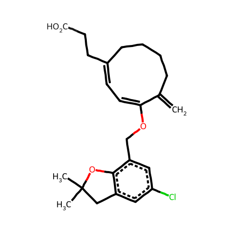 C=C1CCCC/C(CCC(=O)O)=C\C=C/1OCc1cc(Cl)cc2c1OC(C)(C)C2